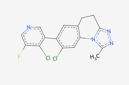 Cc1nnc2n1-c1cc(Cl)c(-c3cncc(F)c3Cl)cc1CC2